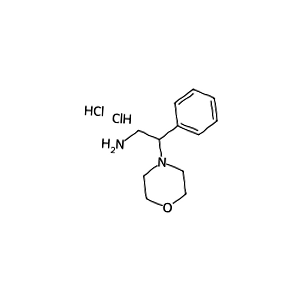 Cl.Cl.NCC(c1ccccc1)N1CCOCC1